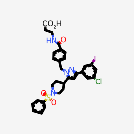 O=C(O)CCNC(=O)c1ccc(Cn2nc(-c3cc(Cl)cc(I)c3)cc2C2CCN(S(=O)(=O)c3ccccc3)CC2)cc1